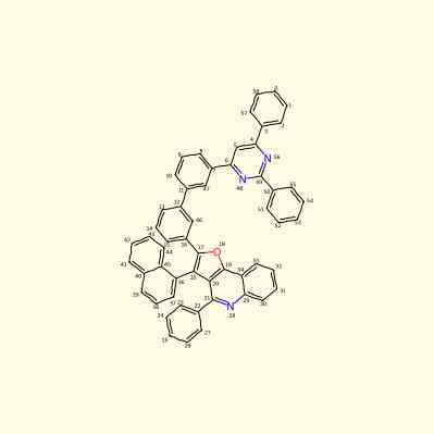 c1ccc(-c2cc(-c3cccc(-c4cccc(-c5oc6c(c(-c7ccccc7)nc7ccccc76)c5-c5cccc6ccccc56)c4)c3)nc(-c3ccccc3)n2)cc1